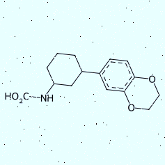 O=C(O)NC1CCCC(c2ccc3c(c2)OCCO3)C1